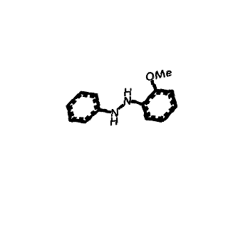 COc1ccccc1NNc1ccccc1